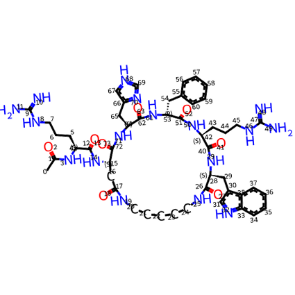 CC(=O)N[C@@H](CCCNC(=N)N)C(=O)N[C@H]1CC(=O)NCCCCCNC(=O)[C@H](Cc2c[nH]c3ccccc23)NC(=O)[C@H](CCCNC(=N)N)NC(=O)[C@@H](Cc2ccccc2)NC(=O)[C@H](Cc2c[nH]cn2)NC1=O